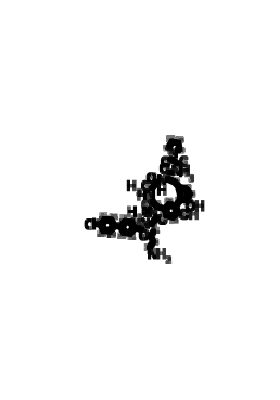 C[C@@H]1NC(=O)[C@@H](N(C)C(=O)[C@H](CCCCN)NC(=O)c2ccc(-c3ccc(Cl)cc3)cc2)c2ccc(O)c(c2)-c2cc(ccc2O)C[C@@H](C(=O)N[C@@H](C)C(=O)N2CCCC2)NC1=O